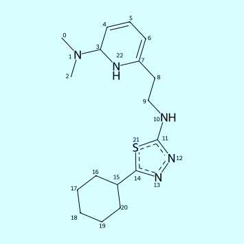 CN(C)C1C=CC=C(CCNc2nnc(C3CCCCC3)s2)N1